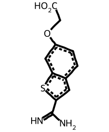 N=C(N)c1cc2ccc(OCC(=O)O)cc2s1